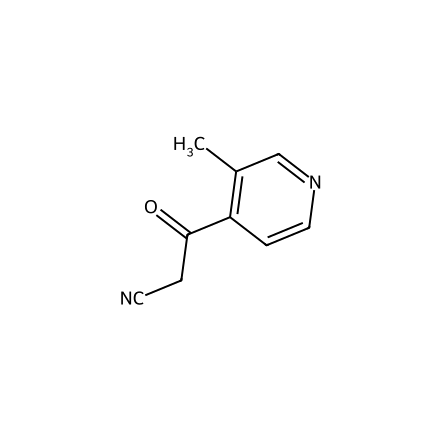 Cc1cnccc1C(=O)CC#N